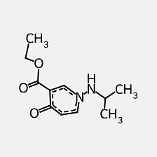 CCOC(=O)c1cn(NC(C)C)ccc1=O